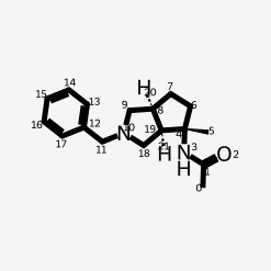 CC(=O)N[C@@]1(C)CC[C@@H]2CN(Cc3ccccc3)C[C@@H]21